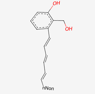 CCCCCCCCCC=CC=CC=Cc1cccc(O)c1CO